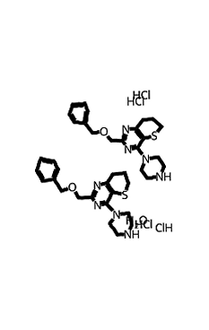 Cl.Cl.Cl.Cl.O.c1ccc(COCc2nc3c(c(N4CCNCC4)n2)SCCC3)cc1.c1ccc(COCc2nc3c(c(N4CCNCC4)n2)SCCC3)cc1